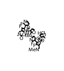 CNCc1cn(S(=O)(=O)c2ccoc2C)c(-c2cccnc2F)c1F.Cc1occc1S(=O)(=O)n1cc(CN(C)C(=O)OC(C)(C)C)c(F)c1-c1cccnc1F.Cl